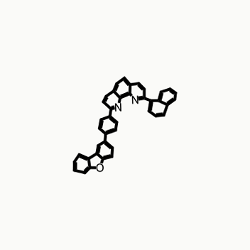 c1ccc2c(-c3ccc4ccc5ccc(-c6ccc(-c7ccc8oc9ccccc9c8c7)cc6)nc5c4n3)cccc2c1